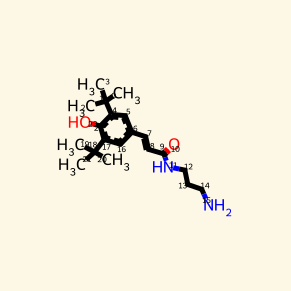 CC(C)(C)c1cc(C=CC(=O)NCCCN)cc(C(C)(C)C)c1O